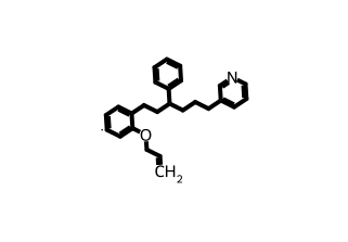 C=CCOc1c[c]ccc1CCC(CCCc1cccnc1)c1ccccc1